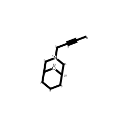 CC#CCN1CC2CCCC(C1)O2